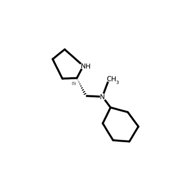 CN(C[C@@H]1CCCN1)C1CCCCC1